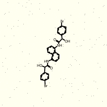 O=C(Nc1cccc2c(NC(=O)C(O)c3ccc(Br)cc3)cccc12)C(O)c1ccc(Br)cc1